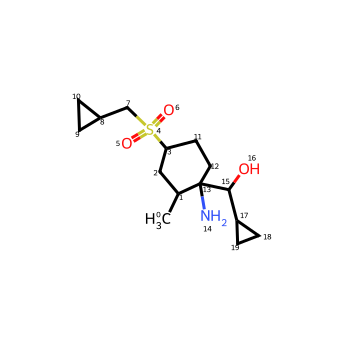 CC1CC(S(=O)(=O)CC2CC2)CCC1(N)C(O)C1CC1